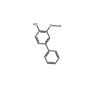 CCCOc1cc(-c2ccccc2)ccc1O